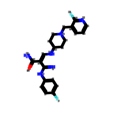 N=C(Nc1ccc(F)cc1)/C(=C\NC1CCN(Cc2cccnc2F)CC1)C(N)=O